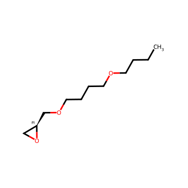 CCCCOCCCCOC[C@@H]1CO1